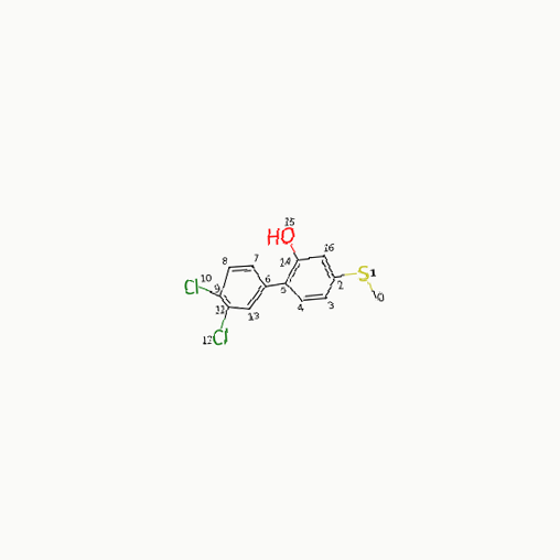 CSc1ccc(-c2ccc(Cl)c(Cl)c2)c(O)c1